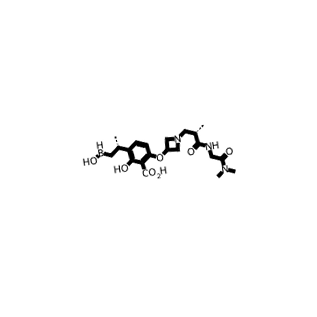 C[C@@H](CN1CC(Oc2ccc([C@@H](C)CBO)c(O)c2C(=O)O)C1)C(=O)NCC(=O)N(C)C